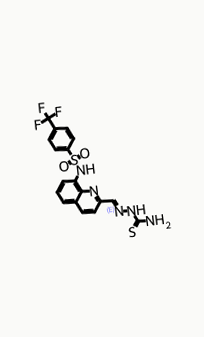 NC(=S)N/N=C/c1ccc2cccc(NS(=O)(=O)c3ccc(C(F)(F)F)cc3)c2n1